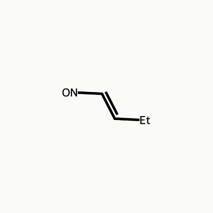 CC/C=C/N=O